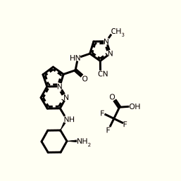 Cn1cc(NC(=O)c2ccc3ccc(N[C@@H]4CCCC[C@@H]4N)nn23)c(C#N)n1.O=C(O)C(F)(F)F